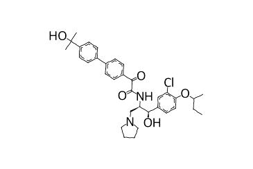 CCC(C)Oc1ccc([C@@H](O)[C@@H](CN2CCCC2)NC(=O)C(=O)c2ccc(-c3ccc(C(C)(C)O)cc3)cc2)cc1Cl